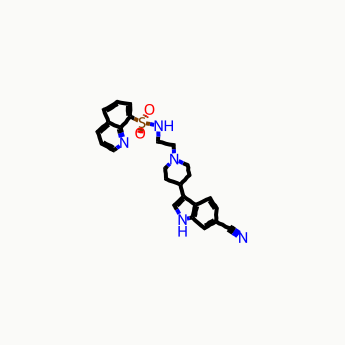 N#Cc1ccc2c(C3CCN(CCNS(=O)(=O)c4cccc5cccnc45)CC3)c[nH]c2c1